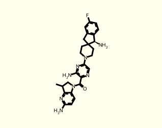 CC1CN(C(=O)c2ncc(N3CCC4(CC3)Cc3cc(F)ccc3[C@H]4N)nc2N)c2ccc(N)nc21